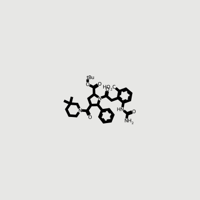 CC1(C)CCCN(C(=O)C2CC(C(=O)OC(C)(C)C)N(C(=O)Cc3c(NC(N)=O)cccc3C(=O)O)C2c2ccccc2)C1